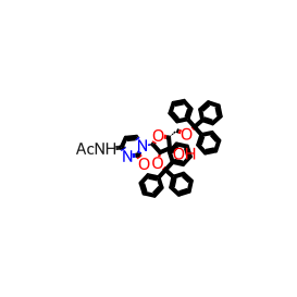 CC(=O)Nc1ccn([C@@H]2O[C@H](COC(c3ccccc3)(c3ccccc3)c3ccccc3)[C@@H](O)[C@H]2OC(c2ccccc2)(c2ccccc2)c2ccccc2)c(=O)n1